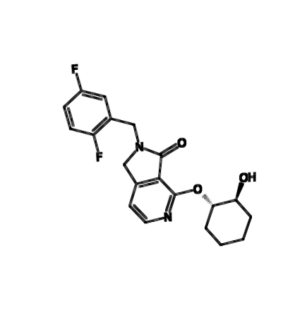 O=C1c2c(ccnc2O[C@H]2CCCC[C@@H]2O)CN1Cc1cc(F)ccc1F